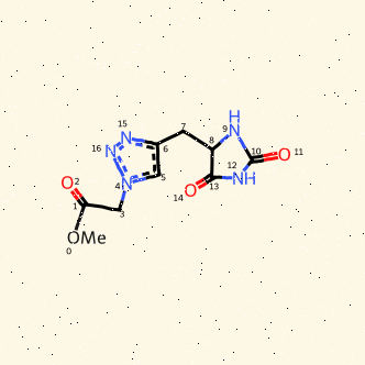 COC(=O)Cn1cc(CC2NC(=O)NC2=O)nn1